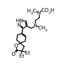 CCC1(CC)CC2(CC=C(c3n[nH]cc3CN(C)CCN(C)C(=O)O)CC2)OC1=O